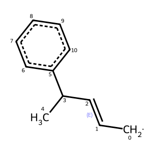 [CH2]/C=C/C(C)c1ccccc1